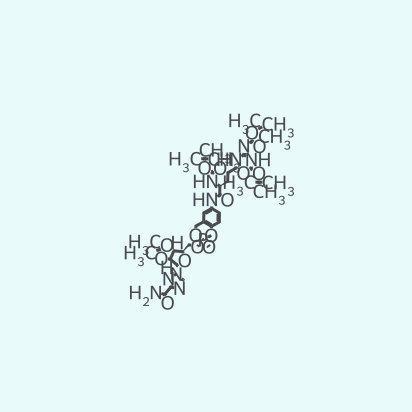 CC(C)(C)OC(=O)/N=C(/NCCC[C@H](NC(=O)OC(C)(C)C)C(=O)Nc1ccc2c(c1)COP(=O)(OC[C@H]1O[C@@H](n3cnc(C(N)=O)n3)[C@@H]3OC(C)(C)O[C@@H]31)O2)NC(=O)OC(C)(C)C